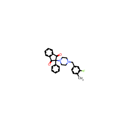 Cc1ccc(CN2CCN(C3(c4ccccc4)C(=O)c4ccccc4C3=O)CC2)cc1F